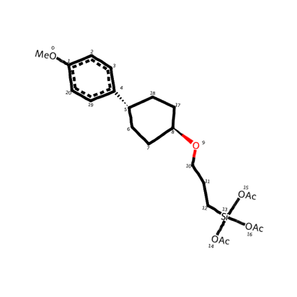 COc1ccc([C@H]2CC[C@H](OCCC[Si](OC(C)=O)(OC(C)=O)OC(C)=O)CC2)cc1